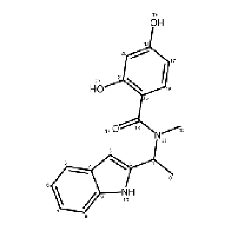 CC(c1cc2ccccc2[nH]1)N(C)C(=O)c1ccc(O)cc1O